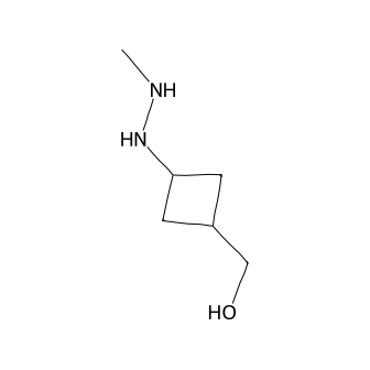 CNNC1CC(CO)C1